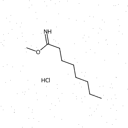 CCCCCCCC(=N)OC.Cl